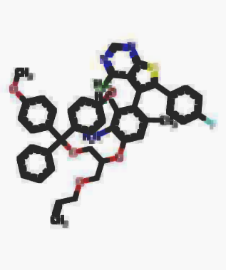 C=CCOCC(COC(c1ccccc1)(c1ccc(OC)cc1)c1ccc(OC)cc1)Oc1cc(C)c(-c2c(-c3ccc(F)cc3)sc3ncnc(Cl)c23)c(C)c1N